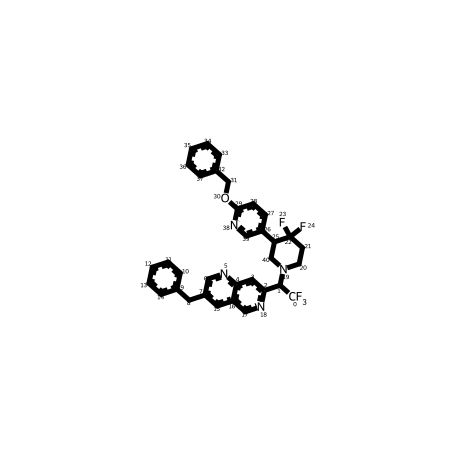 FC(F)(F)C(c1cc2ncc(Cc3ccccc3)cc2cn1)N1CCC(F)(F)C(c2ccc(OCc3ccccc3)nc2)C1